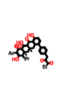 CCC(=O)C(=O)Cc1ccc(-c2ccc(O)c3c2C[C@]2(C)C[C@]4(C)C(C(C)C)C(O)=C(C(C)=O)C(=O)[C@]4(O)C(O)=C2C3=O)cc1